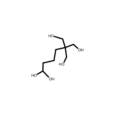 OCC(CO)(CO)CCCC(O)O